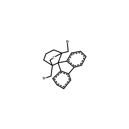 BrCC12CCCC(CBr)(CC1)C21c2ccccc2-c2ccccc21